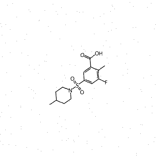 Cc1c(F)cc(S(=O)(=O)N2CCC(C)CC2)cc1C(=O)O